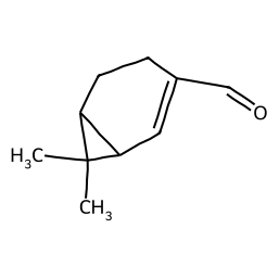 CC1(C)C2C=C(C=O)CCC21